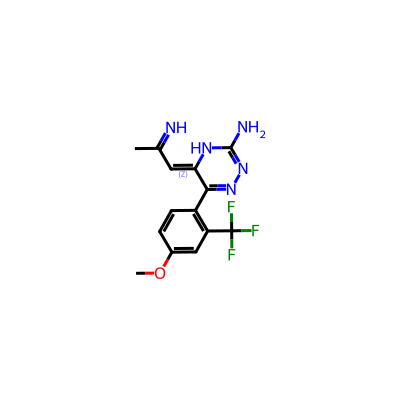 COc1ccc(C2=NN=C(N)N/C2=C\C(C)=N)c(C(F)(F)F)c1